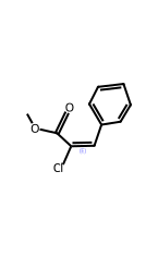 COC(=O)/C(Cl)=C\c1ccccc1